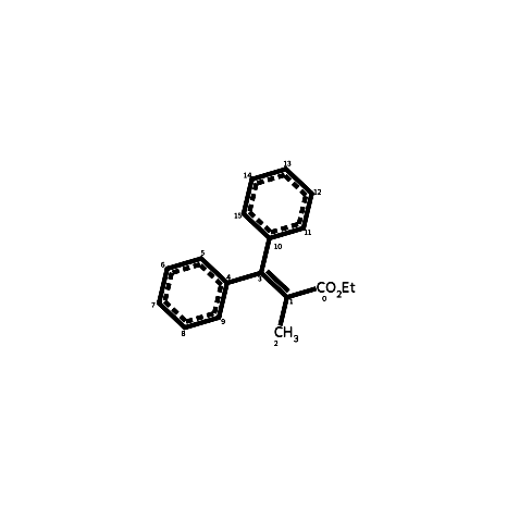 CCOC(=O)C(C)=C(c1ccccc1)c1ccccc1